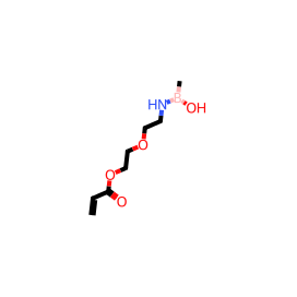 C=CC(=O)OCCOCCNB(C)O